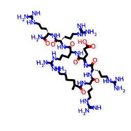 CC(CCCCN)C(=O)N[C@@H](CCCNC(=N)N)C(=O)N[C@@H](CCCNC(=N)N)C(=O)/N=C(\CCC(=O)O)C(=O)NC(CCCNC(=N)N)C(=O)N[C@@H](CCCNC(=N)N)C(=O)N[C@@H](CCCNC(=N)N)C(N)=O